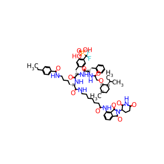 CCc1ccc(C(=O)NCCCC[C@H](NC(=O)[C@H](Cc2ccc(C(F)(F)P(=O)(O)O)cc2)NC(=O)[C@H](Cc2ccccc2)NC(=O)CO[C@H]2C[C@@H](C)CC[C@@H]2C(C)C)C(=O)NCCCCCCC(=O)Nc2cccc3c2C(=O)N(C2CCC(=O)NC2=O)C3=O)cc1